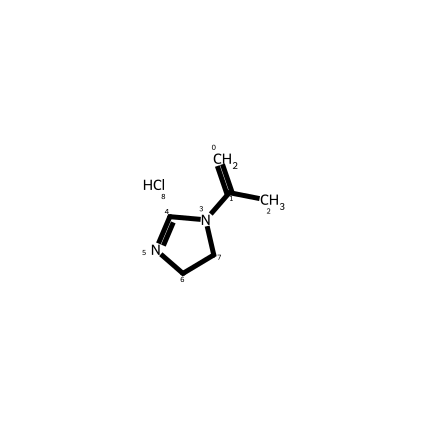 C=C(C)N1C=NCC1.Cl